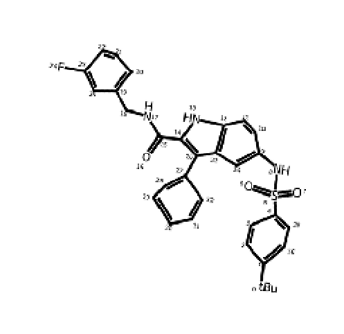 CC(C)(C)c1ccc(S(=O)(=O)Nc2ccc3[nH]c(C(=O)NCc4cccc(F)c4)c(-c4ccccc4)c3c2)cc1